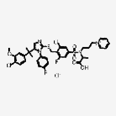 COc1cc(C(C)(C)c2cnc(SCc3c(F)cc(S(=O)(=O)N(CCC[n+]4ccccc4)C(C)C(=O)O)cc3Cl)n2-c2ccc(F)cc2)ccc1Cl.[Cl-]